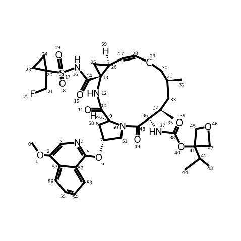 COc1cnc(O[C@@H]2C[C@H]3C(=O)N[C@]4(C(=O)NS(=O)(=O)C5(CF)CC5)C[C@H]4/C=C\CC[C@@H](C)C[C@@H](C)[C@H](NC(=O)OC4(C(C)C)COC4)C(=O)N3C2)c2ccccc12